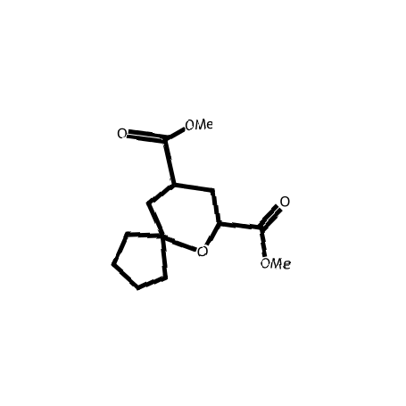 COC(=O)C1CC(C(=O)OC)OC2(CCCC2)C1